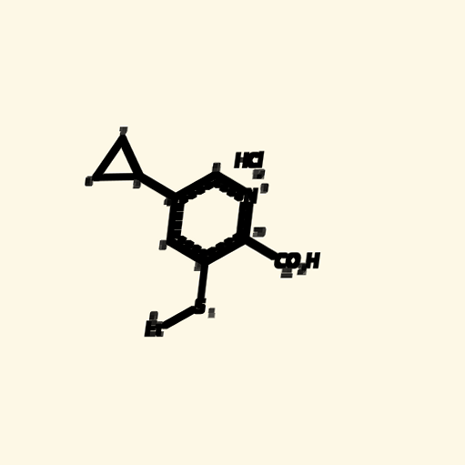 CCSc1cc(C2CC2)cnc1C(=O)O.Cl